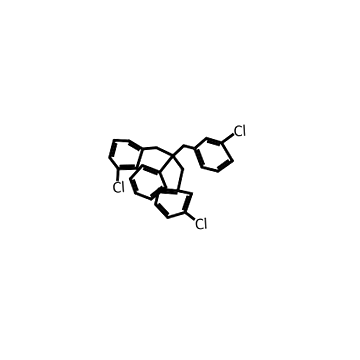 Clc1cccc(CC(Cc2cccc(Cl)c2)(Cc2cccc(Cl)c2)c2ccccc2)c1